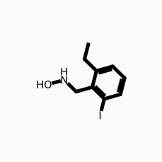 CCc1cccc(I)c1CNO